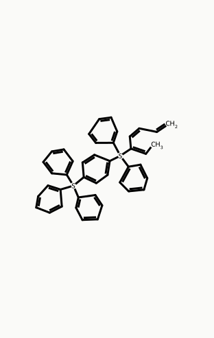 C=C/C=C\C(=C/C)S(c1ccccc1)(c1ccccc1)c1ccc(S(c2ccccc2)(c2ccccc2)c2ccccc2)cc1